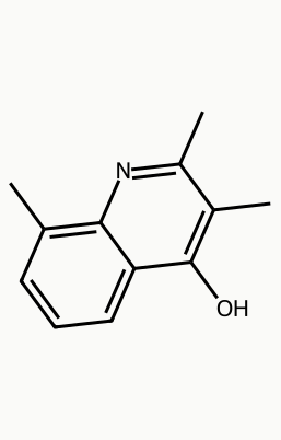 Cc1nc2c(C)cccc2c(O)c1C